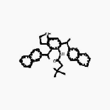 CC(c1ccc2ccccc2c1)c1cc2c(c(C(C)c3ccc4ccccc4c3)c1NC(=O)CC(C)(C)C)CCN2